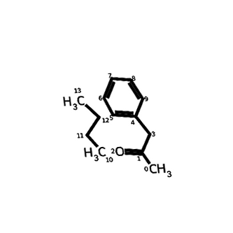 CC(=O)Cc1ccccc1.CCCC